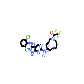 Cn1nc(Nc2c(Cl)cccc2Cl)c2cnc(NC3=C/C=C/CCN(C(=O)C(F)(F)F)C\C=C\3)nc21